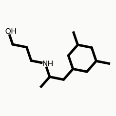 CC1CC(C)CC(CC(C)NCCCO)C1